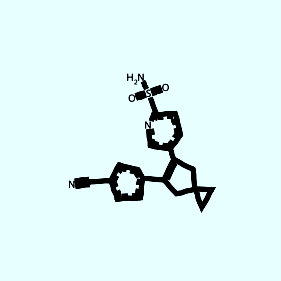 N#Cc1ccc(C2=C(c3ccc(S(N)(=O)=O)nc3)CC3(CC3)C2)cc1